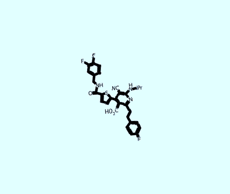 CC(C)Nc1nc(CCc2ccc(F)cc2)c(C(=O)O)c(-c2ccc(C(=O)NCc3ccc(F)c(F)c3)s2)c1C#N